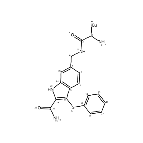 CCC(C)C(N)C(=O)NCc1ccc2c(Sc3ccccc3)c(C(N)=O)[nH]c2c1